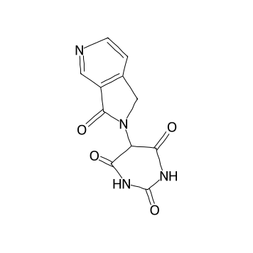 O=C1NC(=O)C(N2Cc3ccncc3C2=O)C(=O)N1